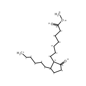 CCCCCCC1CCC(=O)C1CCCCCCC(=O)OC